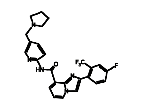 O=C(Nc1ccc(CN2CCCC2)cn1)c1cccn2cc(-c3ccc(F)cc3C(F)(F)F)nc12